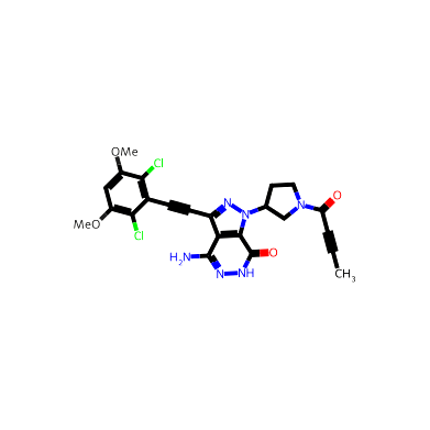 CC#CC(=O)N1CCC(n2nc(C#Cc3c(Cl)c(OC)cc(OC)c3Cl)c3c(N)n[nH]c(=O)c32)C1